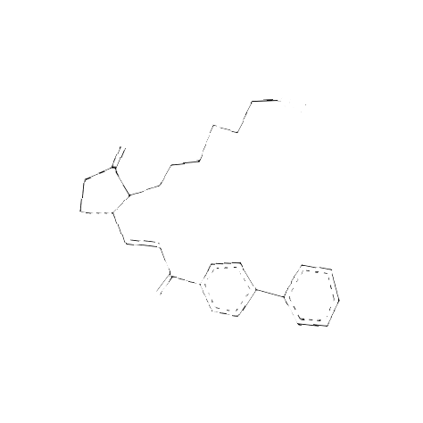 O=C(O)CCCCCCC1C(=O)CCC1C=CC(=O)c1ccc(-c2ccccc2)cc1